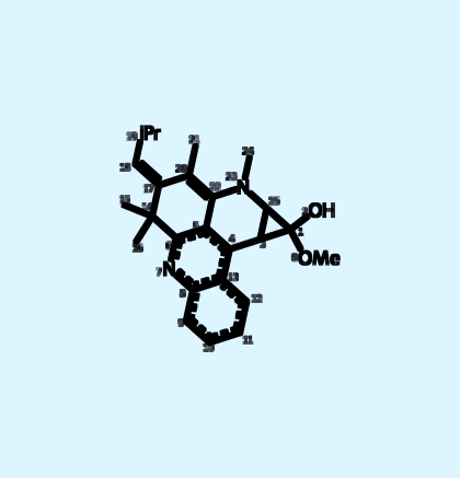 COC1(O)C2c3c4c(nc5ccccc35)C(C)(C)/C(=C/C(C)C)C(C)=C4N(C)C21